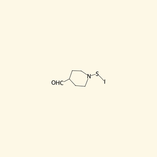 O=CC1CCN(SI)CC1